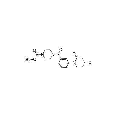 CC(C)(C)OC(=O)N1CCN(C(=O)c2cccc(N3CCC(=O)CC3=O)c2)CC1